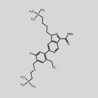 CNC(=O)c1nn(COCC[Si](C)(C)C)c2cc(-c3cc(F)c(COCC[Si](C)(C)C)cc3CC(F)(F)F)ncc12